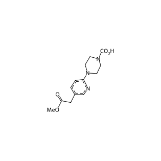 COC(=O)Cc1ccc(N2CCN(C(=O)O)CC2)nc1